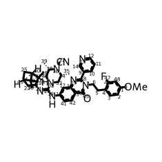 COc1ccc(CCn2c(-c3cccnc3)nc3cc(N/C(=N/C4C[C@@H]5C[C@H]([C@@H]4C)C5(C)C)N4C[C@@H](C)N(C#N)[C@@H](C)C4)ccc3c2=O)c(F)c1